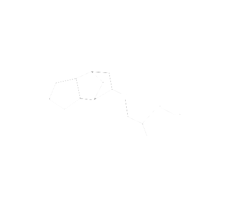 CC(C)OC(C)COC1CC2CC1C1CCCC21